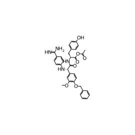 COc1cc([C@H](Nc2ccc(C(=N)N)cc2)C(=O)N[C@@H](Cc2ccc(O)cc2)C(=O)OC(C)=O)ccc1OCc1ccccc1